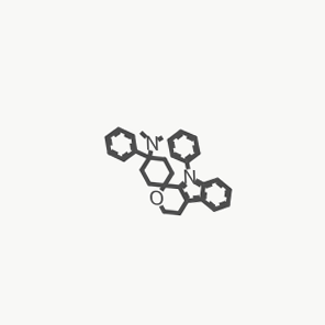 CN(C)C1(c2ccccc2)CCC2(CC1)OCCc1c2n(-c2ccccc2)c2ccccc12